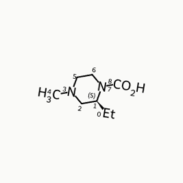 CC[C@H]1CN(C)CCN1C(=O)O